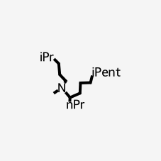 CCCC(C)CCCC(CCC)N(C)CCCC(C)C